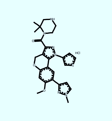 COc1cc2c(cc1-c1ccn(C)n1)-c1c(c(C(=O)N3CCNCC3(C)C)nn1-c1ccsc1)CO2.Cl